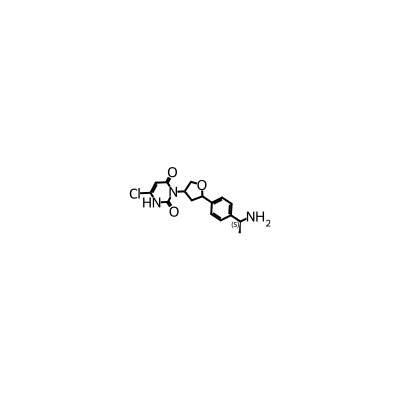 C[C@H](N)c1ccc(C2CC(n3c(=O)cc(Cl)[nH]c3=O)CO2)cc1